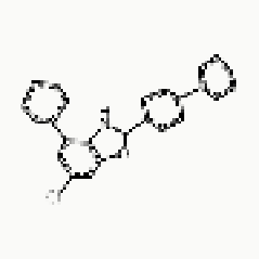 Clc1cc2c(c(-c3ccccc3)c1)NC(c1ccc(-c3ccccc3)cc1)O2